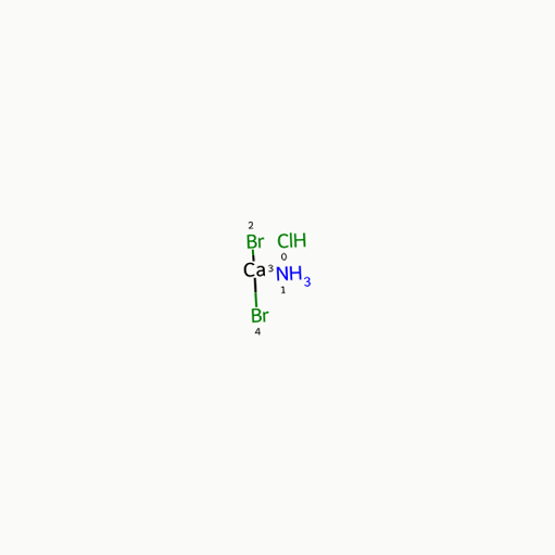 Cl.N.[Br][Ca][Br]